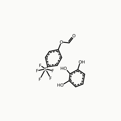 O=COc1ccc(S(F)(F)(F)(F)F)cc1.Oc1cccc(O)c1O